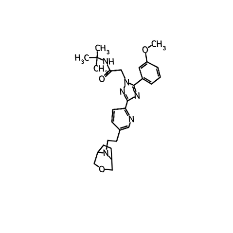 COc1cccc(-c2nc(-c3ccc(CCN4C5CCC4COC5)cn3)nn2CC(=O)NC(C)(C)C)c1